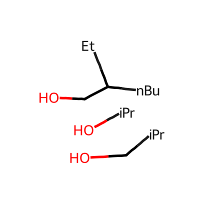 CC(C)CO.CC(C)O.CCCCC(CC)CO